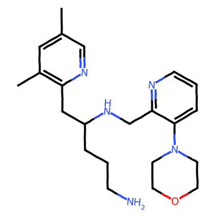 Cc1cnc(CC(CCCN)NCc2ncccc2N2CCOCC2)c(C)c1